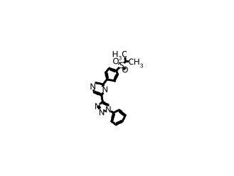 CC(C)S(=O)(=O)c1ccc(-c2cncc(-c3cn(-c4ccccc4)nn3)n2)cc1